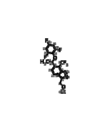 CCOCc1nnc2c(C(F)(F)F)c([C@@H](C)Oc3c(F)cc(F)cc3F)ccn12